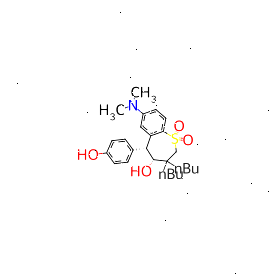 CCCCC1(CCCC)CS(=O)(=O)c2ccc(N(C)C)cc2[C@@H](c2ccc(O)cc2)[C@H]1O